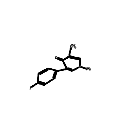 Cc1cn(C)cc(-c2ccc(F)cc2)c1=O